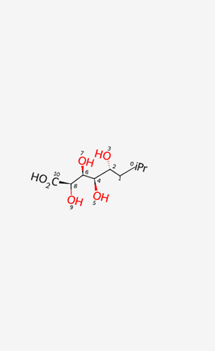 CC(C)C[C@@H](O)[C@@H](O)[C@H](O)[C@@H](O)C(=O)O